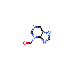 O=Cn1cncc2ncnc1-2